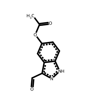 CC(=O)Oc1ccc2[nH]nc(C=O)c2c1